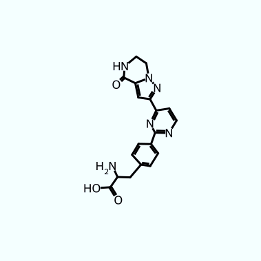 NC(Cc1ccc(-c2nccc(-c3cc4n(n3)CCNC4=O)n2)cc1)C(=O)O